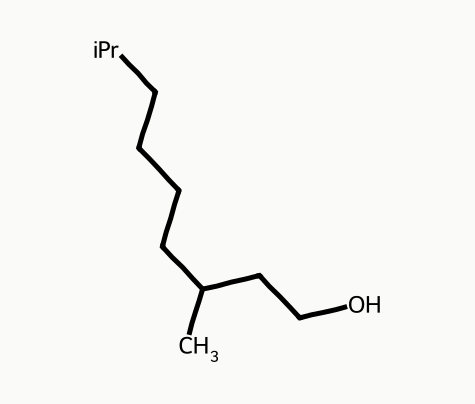 CC(C)CCCCC(C)CCO